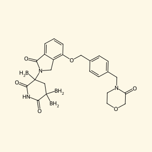 BC1(B)CC(B)(N2Cc3c(OCc4ccc(CN5CCOCC5=O)cc4)cccc3C2=O)C(=O)NC1=O